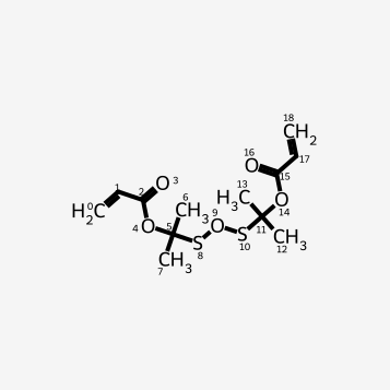 C=CC(=O)OC(C)(C)SOSC(C)(C)OC(=O)C=C